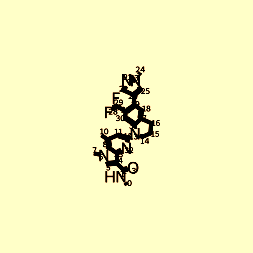 CNC(=O)c1cn(C)c2c(C)cc(N3CCCc4cc(-c5cnn(C)c5)c(C(F)F)cc43)nc12